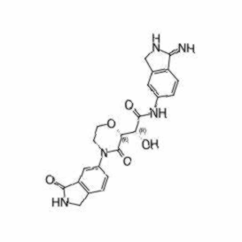 N=C1NCc2cc(NC(=O)[C@H](O)[C@H]3OCCN(c4ccc5c(c4)C(=O)NC5)C3=O)ccc21